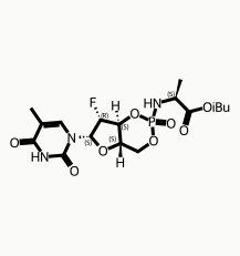 Cc1cn([C@H]2O[C@H]3COP(=O)(N[C@@H](C)C(=O)OCC(C)C)O[C@@H]3[C@H]2F)c(=O)[nH]c1=O